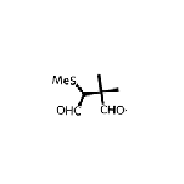 CSC(C=O)C(C)(C)[C]=O